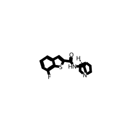 O=C(N[C@@H]1CN2CCC1CC2)c1cc2cccc(F)c2s1